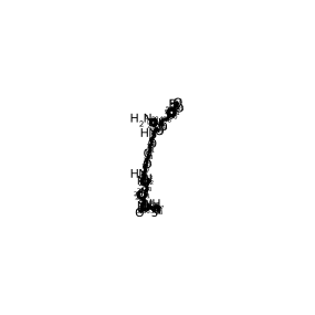 N[C@H]1C[C@@H](C(=O)NCCOCCOCCOCCNc2ncc(CN3CCCC(c4nc(=O)cc(-c5cccs5)[nH]4)C3)cn2)N(C(=O)CCc2ccc(S(=O)(=O)F)cc2)C1